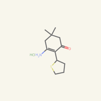 CC1(C)CC(=O)C(C2CCCS2)=C(N)C1.Cl